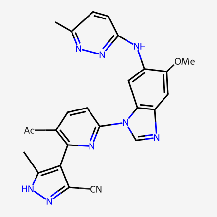 COc1cc2ncn(-c3ccc(C(C)=O)c(-c4c(C#N)n[nH]c4C)n3)c2cc1Nc1ccc(C)nn1